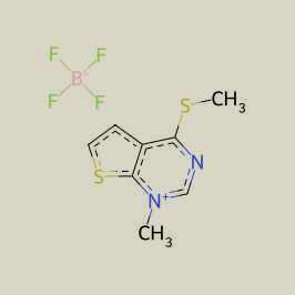 CSc1nc[n+](C)c2sccc12.F[B-](F)(F)F